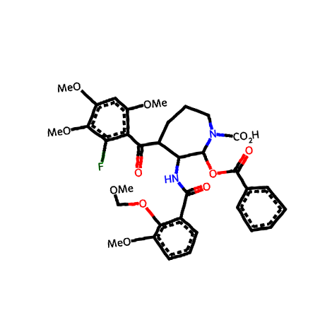 COCOc1c(OC)cccc1C(=O)NC1C(C(=O)c2c(OC)cc(OC)c(OC)c2F)CCCN(C(=O)O)C1OC(=O)c1ccccc1